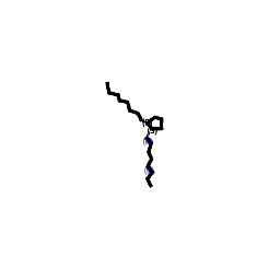 CC/C=C/CC/C=C/[C@H]1CCC[C@@H]1CCCCCCCC